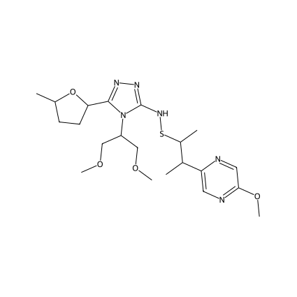 COCC(COC)n1c(NSC(C)C(C)c2cnc(OC)cn2)nnc1C1CCC(C)O1